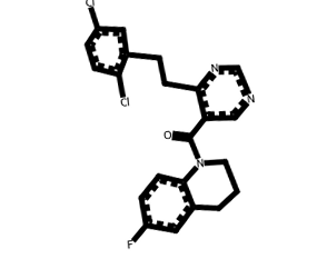 O=C(c1cncnc1CCc1cc(Cl)ccc1Cl)N1CCCc2cc(F)ccc21